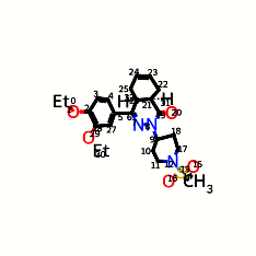 CCOc1ccc(C2=NN(C3CCN(S(C)(=O)=O)CC3)C(=O)[C@@H]3CC=CC[C@H]23)cc1OCC